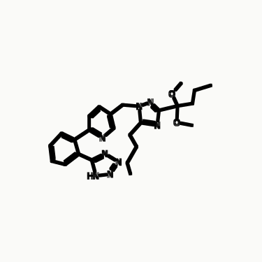 CCCCc1nc(C(CCC)(OC)OC)nn1Cc1ccc(-c2ccccc2-c2nnn[nH]2)nc1